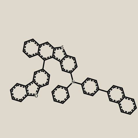 c1ccc(N(c2ccc(-c3ccc4ccccc4c3)cc2)c2ccc3sc4cc5ccccc5c(-c5ccc6oc7ccccc7c6c5)c4c3c2)cc1